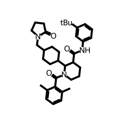 Cc1cccc(C)c1C(=O)N1CCCC(C(=O)Nc2cccc(C(C)(C)C)c2)C1C1CCC(CN2CCCC2=O)CC1